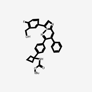 CC(C)(C)OC(=O)NC1(c2ccc(-c3nn4c(-c5ccc(F)c(CO)c5)cnc4cc3-c3ccccc3)cc2)CCC1